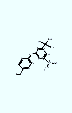 COc1ccc(Oc2cc([N+](=O)[O-])cc(C(F)(F)F)c2)cc1